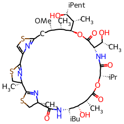 CCC[C@@H](C)[C@H](O)[C@H](C)[C@H]1OC(=O)[C@H]([C@@H](C)O)NC(=O)[C@H](C(C)C)OC(=O)[C@H](C)[C@H](O)[C@H]([C@@H](C)CC)NC(=O)[C@@]2(C)CSC(=N2)[C@@]2(C)CSC(=N2)c2csc(n2)C[C@H](OC)[C@@H]1C